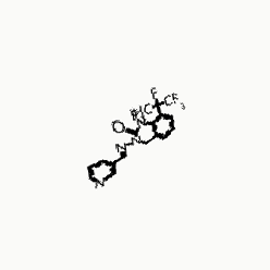 O=C1Nc2c(cccc2C(F)(C(F)(F)F)C(F)(F)F)CN1/N=C/c1cccnc1